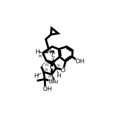 CC(C)(C)C(C)(O)[C@H]1C[C@@]23CC[C@]1(C)[C@@H]1Oc4c(O)ccc5c4[C@@]12CCN(CC1CC1)[C@@H]3C5